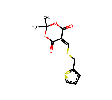 CC1(C)OC(=O)C(=CSCc2cccs2)C(=O)O1